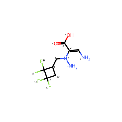 N/C=C(/C(=O)O)N(N)CC1CC(F)(F)C1(F)F